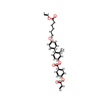 C=COC(=O)CCCCCOc1ccc(-c2ccc(OC(=O)c3ccc(OC(=O)C=C)cc3)cc2CC)cc1